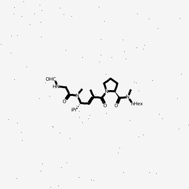 CCCCCCN(C)C(=O)[C@@H]1CCCN1C(=O)/C(C)=C/[C@H](C(C)C)N(C)C(=O)CNC=O